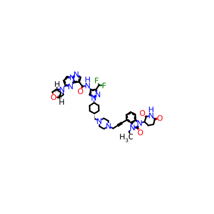 CCn1c(=O)n(C2CCC(=O)NC2=O)c2cccc(C#CCN3CCN(C[C@H]4CC[C@H](n5cc(NC(=O)c6cnn7ccc(N8C[C@H]9C[C@@H]8CO9)nc67)c(C(F)F)n5)CC4)CC3)c21